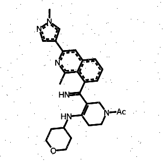 CC(=O)N1CCC(NC2CCOCC2)=C(C(=N)c2cccc3cc(-c4cnn(C)c4)nc(C)c23)C1